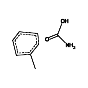 Cc1ccccc1.NC(=O)O